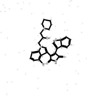 O=C1NC(=O)C(c2cn(CC(O)CN3CCCCC3)c3cccc(Br)c23)=C1c1c[nH]c2ccccc12